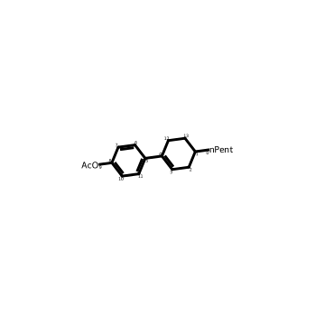 CCCCCC1CC=C(c2ccc(OC(C)=O)cc2)CC1